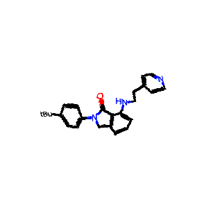 CC(C)(C)c1ccc(N2Cc3cccc(NCCc4ccncc4)c3C2=O)cc1